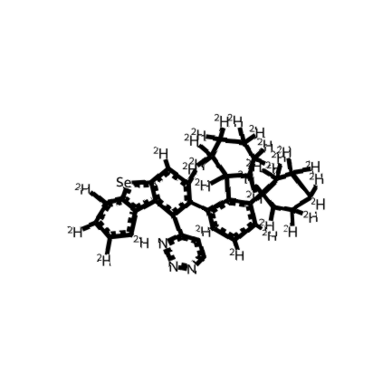 [2H]c1c([2H])c(-c2c([2H])c([2H])c3[se]c4c([2H])c([2H])c([2H])c([2H])c4c3c2-c2ccnnn2)c(C2([2H])C([2H])C([2H])([2H])C([2H])([2H])C([2H])([2H])C2([2H])[2H])c(C2([2H])C([2H])C([2H])([2H])C([2H])([2H])C([2H])([2H])C2([2H])[2H])c1[2H]